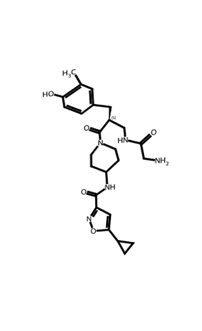 Cc1cc(C[C@@H](CNC(=O)CN)C(=O)N2CCC(NC(=O)c3cc(C4CC4)on3)CC2)ccc1O